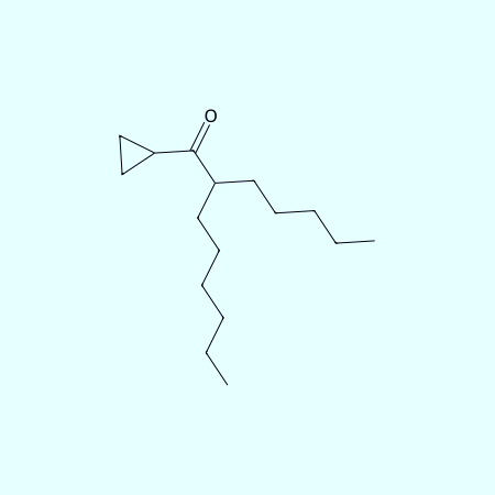 CCCCCCC(CCCCC)C(=O)C1CC1